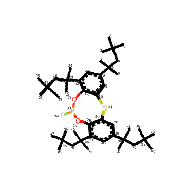 CC(C)(C)CC(C)(C)c1cc2c(c(C(C)(C)CC(C)(C)C)c1)OP(F)Oc1c(cc(C(C)(C)CC(C)(C)C)cc1C(C)(C)CC(C)(C)C)S2